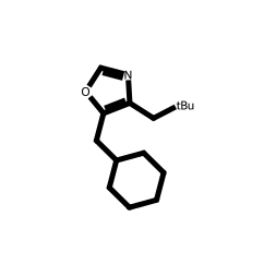 CC(C)(C)Cc1ncoc1CC1CCCCC1